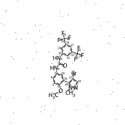 COc1ccc(NC(=O)Nc2cc(C(F)(F)F)cc(C(F)(F)F)c2)cc1-c1c(Br)cnn1C